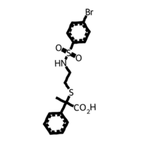 CC(SCCNS(=O)(=O)c1ccc(Br)cc1)(C(=O)O)c1ccccc1